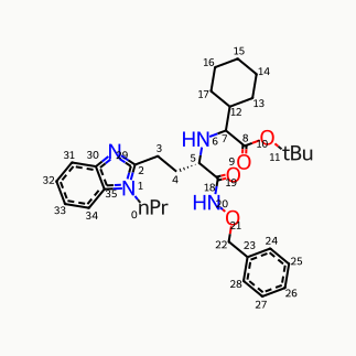 CCCn1c(CC[C@H](NC(C(=O)OC(C)(C)C)C2CCCCC2)C(=O)NOCc2ccccc2)nc2ccccc21